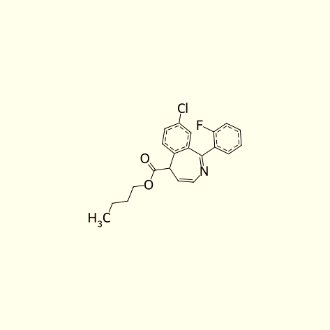 CCCCOC(=O)C1C=CN=C(c2ccccc2F)c2cc(Cl)ccc21